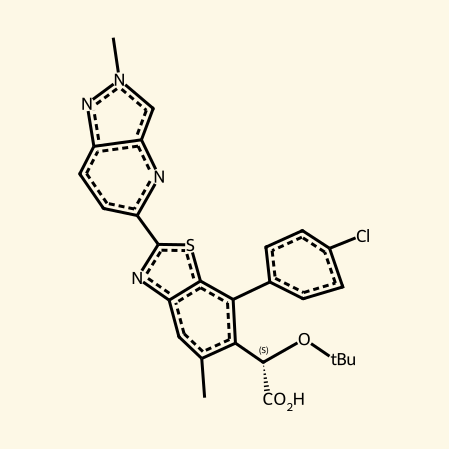 Cc1cc2nc(-c3ccc4nn(C)cc4n3)sc2c(-c2ccc(Cl)cc2)c1[C@H](OC(C)(C)C)C(=O)O